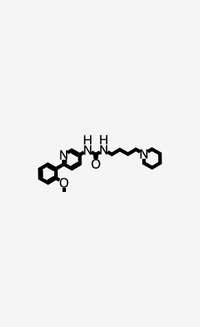 COc1ccccc1-c1ccc(NC(=O)NCCCCN2CCCCC2)cn1